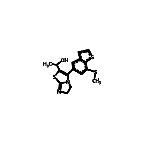 CSc1cc(C2=C(C(C)O)SC3=NCCN32)cc2ccsc12